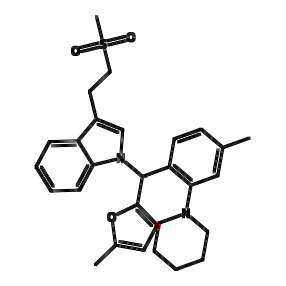 Cc1ccc([C](c2ccc(C)o2)n2cc(CCS(C)(=O)=O)c3ccccc32)c(N2CCCCC2)c1